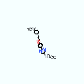 CCCCCCCCCCc1cnc(-c2ccc(OCCC[C@H]3CC[C@H](CCCC)CC3)cc2)nc1